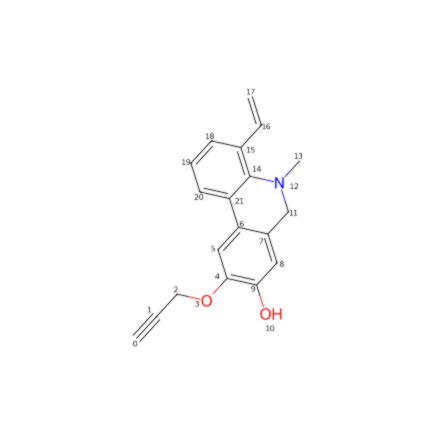 C#CCOc1cc2c(cc1O)CN(C)c1c(C=C)cccc1-2